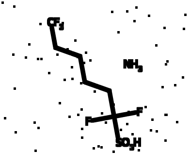 N.O=S(=O)(O)C(F)(F)CCCCC(F)(F)F